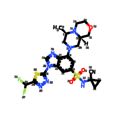 C[C@@H]1CN(c2cc(S(=O)(=O)NC3(C#N)CC3)cc3c2ncn3-c2nnc(C(F)F)s2)C[C@@H]2COCCN21